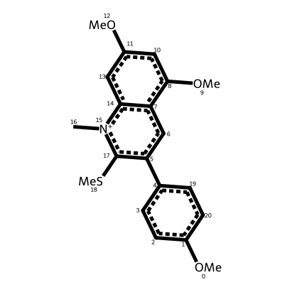 COc1ccc(-c2cc3c(OC)cc(OC)cc3[n+](C)c2SC)cc1